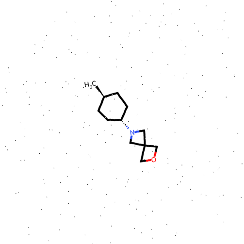 C[C@H]1CC[C@H](N2CC3(COC3)C2)CC1